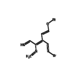 C=N/C(C=N)=C(\C=C\Br)/C=C/OCC